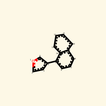 [c]1occc1-c1cccc2ccccc12